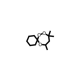 CC1CC(C)(C)OOC2(CCCCC2)O1